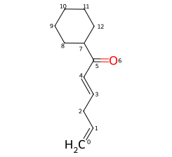 C=CC/C=C/C(=O)C1CCCCC1